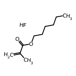 C=C(C)C(=O)OCCCCCC.F